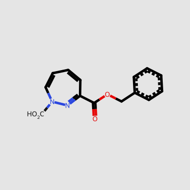 O=C(OCc1ccccc1)C1=NN(C(=O)O)C=CC=C1